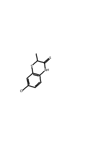 CC1Sc2cc(Cl)ccc2NC1=S